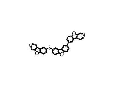 c1cc2c(cn1)oc1ccc(Sc3ccc4oc5ccc(-c6ccc7oc8cnccc8c7c6)cc5c4c3)cc12